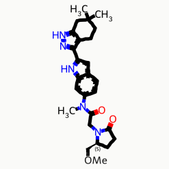 COC[C@@H]1CCC(=O)N1CC(=O)N(C)c1ccc2cc(-c3n[nH]c4c3CCC(C)(C)C4)[nH]c2c1